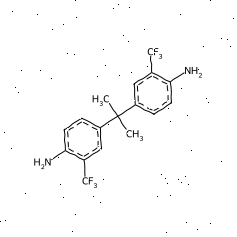 CC(C)(c1ccc(N)c(C(F)(F)F)c1)c1ccc(N)c(C(F)(F)F)c1